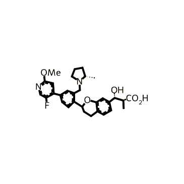 COc1cc(-c2ccc(C3CCc4ccc([C@H](O)[C@H](C)C(=O)O)cc4O3)c(CN3CCC[C@@H]3C)c2)c(F)cn1